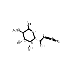 CC(=O)N[C@H]1C(O)O[C@H](C(O)N=[N+]=[N-])[C@H](O)[C@@H]1O